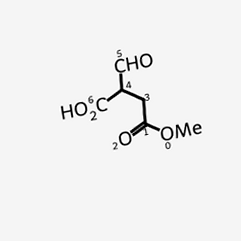 COC(=O)CC(C=O)C(=O)O